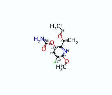 C=C(OCC)c1nc(OC)c(F)cc1OC(N)=O